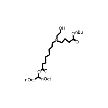 CCCCCCCCC(CCCCCCCC)OC(=O)CCCCCCCN(CCO)CCCC(=O)OCCCC